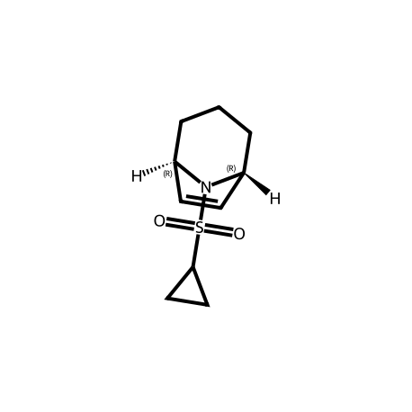 O=S(=O)(C1CC1)N1[C@H]2C=C[C@H]1CCC2